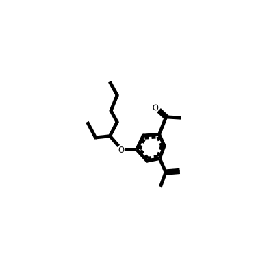 C=C(C)c1cc(OC(CC)CCCC)cc(C(C)=O)c1